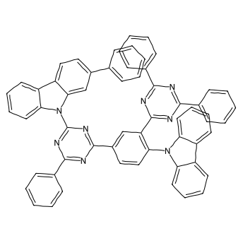 c1ccc(-c2ccc3c4ccccc4n(-c4nc(-c5ccccc5)nc(-c5ccc(-n6c7ccccc7c7ccccc76)c(-c6nc(-c7ccccc7)nc(-c7ccccc7)n6)c5)n4)c3c2)cc1